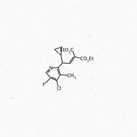 CCOC(=O)C(=CC(c1ncc(F)c(Cl)c1C)C1CC1)C(=O)OCC